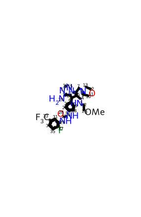 COCCNCC1=C(CN2CCOCC2)N2N=CN=C(N)C2C1c1ccc(NC(=O)Nc2cc(C(F)(F)F)ccc2F)cc1